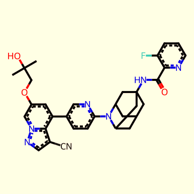 CC(C)(O)COc1cc(-c2ccc(N3C4CC5CC3CC(NC(=O)c3ncccc3F)(C5)C4)nc2)c2c(C#N)cnn2c1